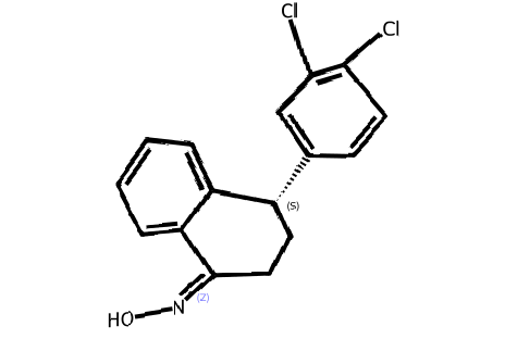 O/N=C1/CC[C@@H](c2ccc(Cl)c(Cl)c2)c2ccccc21